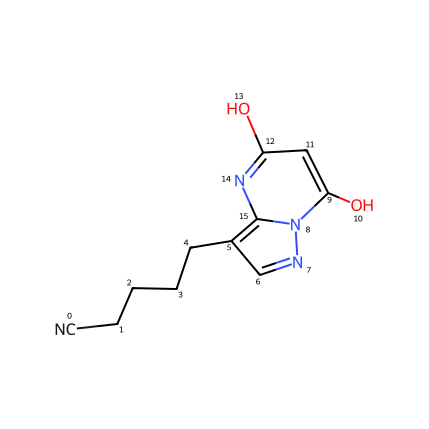 N#CCCCCc1cnn2c(O)cc(O)nc12